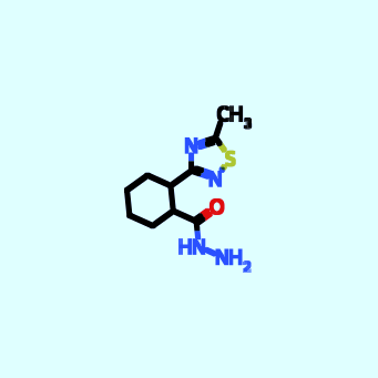 Cc1nc(C2CCCCC2C(=O)NN)ns1